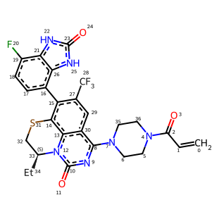 C=CC(=O)N1CCN(c2nc(=O)n3c4c(c(-c5ccc(F)c6[nH]c(=O)[nH]c56)c(C(F)(F)F)cc24)SC[C@@H]3CC)CC1